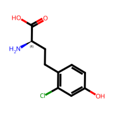 N[C@H](CCc1ccc(O)cc1Cl)C(=O)O